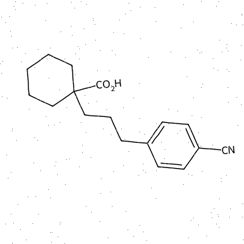 N#Cc1ccc(CCCC2(C(=O)O)CCCCC2)cc1